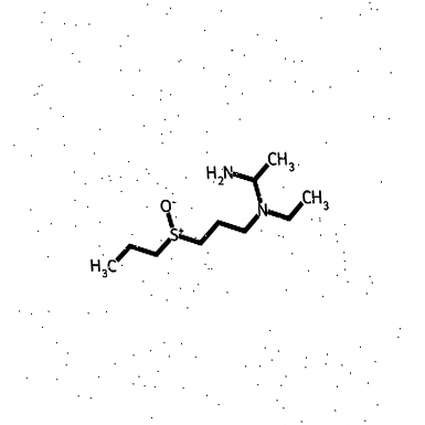 CCC[S+]([O-])CCCN(CC)C(C)N